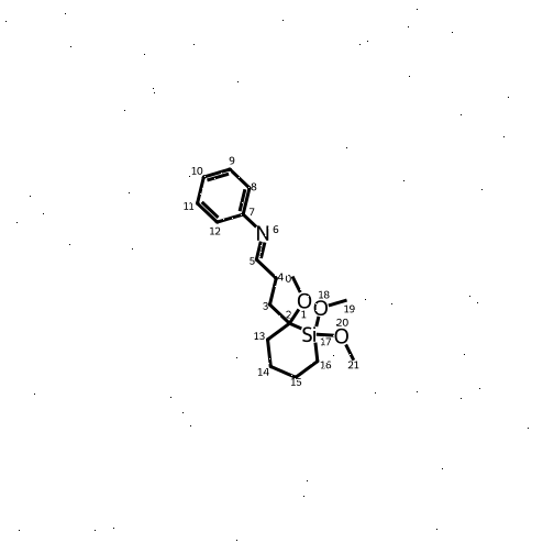 COC1(CCC=Nc2ccccc2)CCCC[Si]1(OC)OC